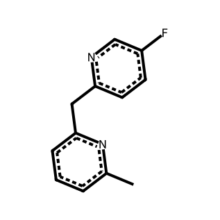 Cc1cccc(Cc2ccc(F)cn2)n1